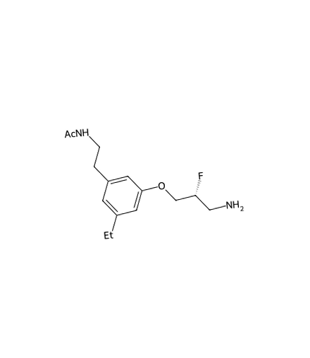 CCc1cc(CCNC(C)=O)cc(OC[C@H](F)CN)c1